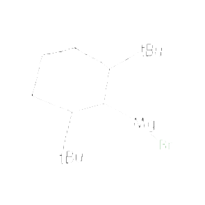 CC(C)(C)C1CCCC(C(C)(C)C)[CH]1[Mg][Br]